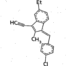 C#CC1=C(C)C(=Cc2ccc(Cl)cc2)c2ccc(CC)cc21